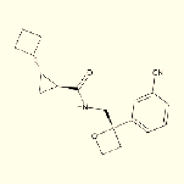 N#Cc1cccc([C@]2(CNC(=O)[C@H]3C[C@@H]3C3CCC3)CCO2)c1